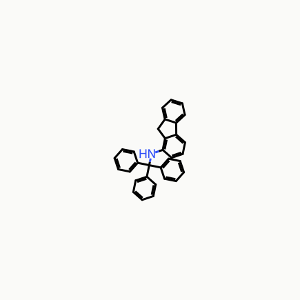 c1ccc(C(Nc2cccc3c2Cc2ccccc2-3)(c2ccccc2)c2ccccc2)cc1